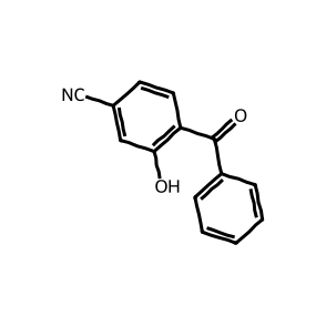 N#Cc1ccc(C(=O)c2ccccc2)c(O)c1